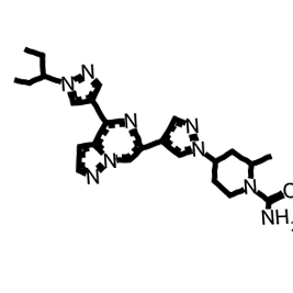 CCC(CC)n1cc(-c2nc(-c3cnn(C4CCN(C(N)=O)C(C)C4)c3)cn3nccc23)cn1